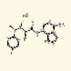 C[C@H](c1ccc(F)cc1)N(C)C(=O)C(=O)Nc1cnc(N)c2cn[nH]c12.Cl